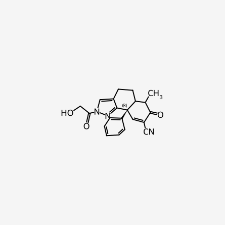 CC1C(=O)C(C#N)=C[C@]2(c3ccccc3)c3nn(C(=O)CO)cc3CCC12